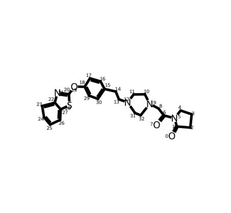 O=C1CCCN1C(=O)CN1CCN(CCc2ccc(Oc3nc4ccccc4s3)cc2)CC1